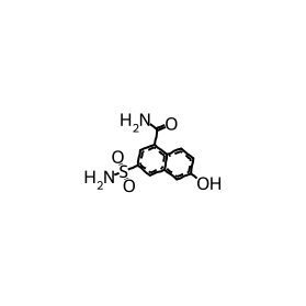 NC(=O)c1cc(S(N)(=O)=O)cc2cc(O)ccc12